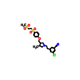 CC1CN(CCc2cc(Cl)cc(C#N)c2)CC1COc1ccc(S(=O)(=O)CCS(C)(=O)=O)cc1